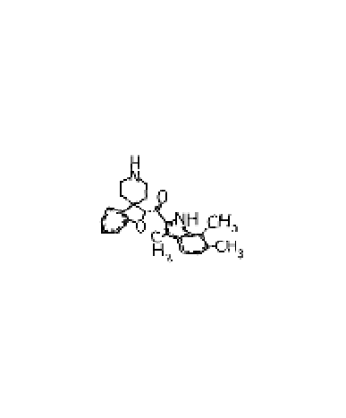 Cc1ccc2c(C)c(C(=O)[C@@H]3Oc4ccccc4C34CCNCC4)[nH]c2c1C